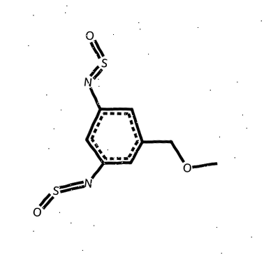 COCc1cc(N=S=O)cc(N=S=O)c1